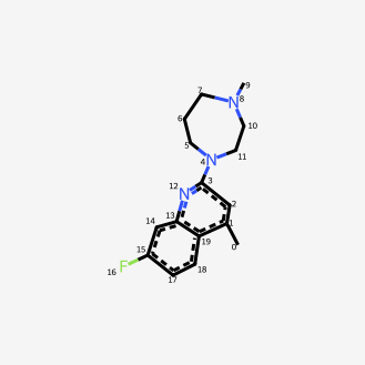 Cc1cc(N2CCCN(C)CC2)nc2cc(F)ccc12